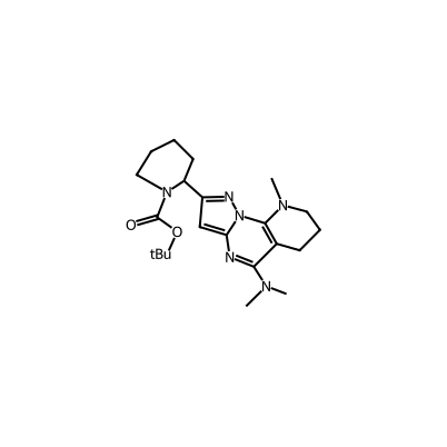 CN(C)c1nc2cc(C3CCCCN3C(=O)OC(C)(C)C)nn2c2c1CCCN2C